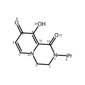 CC(C)N1CCn2ccc(=O)c(O)c2C1=O